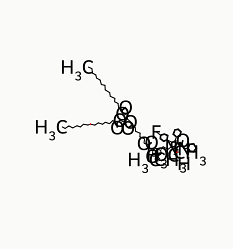 CCCCCCCCCCCCCCCC(=O)OCC(COC(=O)CCCCCCCCCCCCCCC)OC(=O)CCCCCOC(=O)C[C@H]1C[C@@H](CCn2c(-c3ccc(F)cc3)c(-c3ccccc3)c(C(=O)Nc3ccccc3)c2C(C)C)OC(C)(C)O1